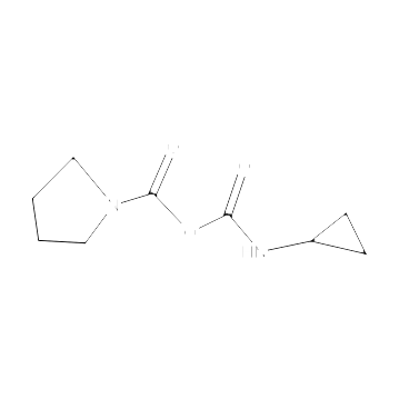 O=C(NC1CC1)OC(=O)N1CCCC1